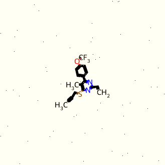 C=Cc1nc(SCC#CC)c(C)c(-c2ccc(OC(F)(F)F)cc2)n1